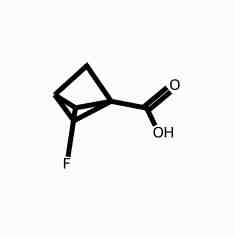 O=C(O)C12CC(C1)C2F